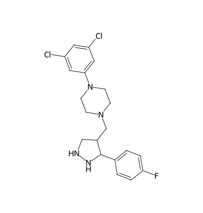 Fc1ccc(C2NNCC2CN2CCN(c3cc(Cl)cc(Cl)c3)CC2)cc1